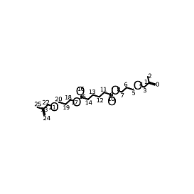 C=C(C)COCCCOC(=O)CCCCC(=O)OCCCOCC(=C)C